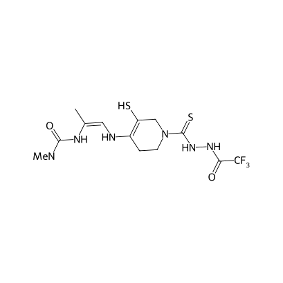 CNC(=O)NC(C)=CNC1=C(S)CN(C(=S)NNC(=O)C(F)(F)F)CC1